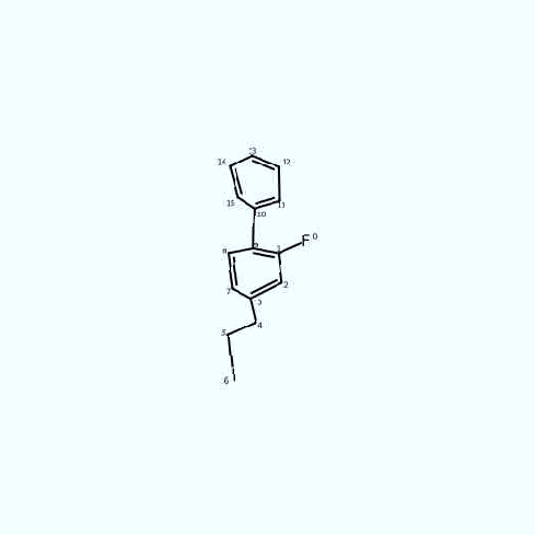 Fc1cc(CCI)ccc1-c1ccccc1